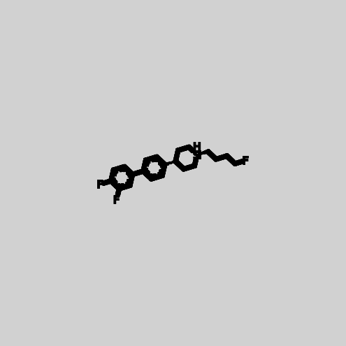 FCCCC[Si@H]1CC[C@H](c2ccc(-c3ccc(F)c(F)c3)cc2)CC1